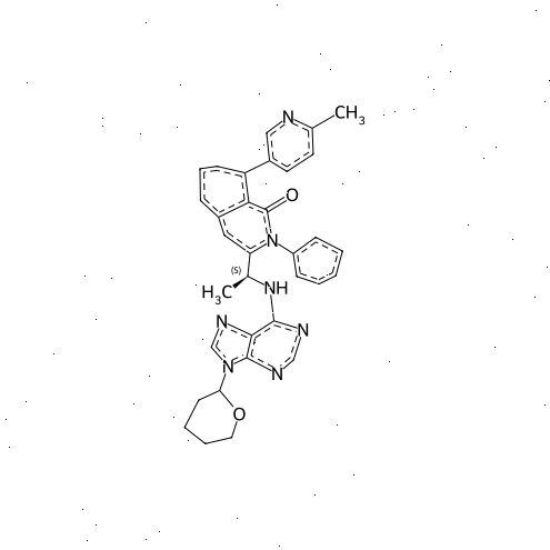 Cc1ccc(-c2cccc3cc([C@H](C)Nc4ncnc5c4ncn5C4CCCCO4)n(-c4ccccc4)c(=O)c23)cn1